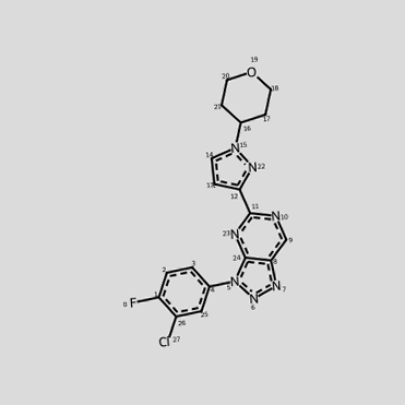 Fc1ccc(-n2nnc3cnc(-c4[c]cn(C5CCOCC5)n4)nc32)cc1Cl